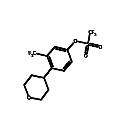 O=S(=O)(Oc1ccc(C2CCOCC2)c(C(F)(F)F)c1)C(F)(F)F